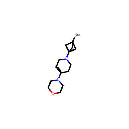 CC(C)(C)C12CC(N3CC=C(N4CCOCC4)CC3)(C1)C2